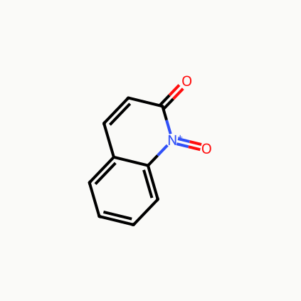 O=C1C=Cc2ccccc2[N+]1=O